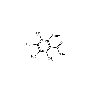 CC(=O)NC(=O)c1c(C)c(C)c(C)c(C)c1I=O